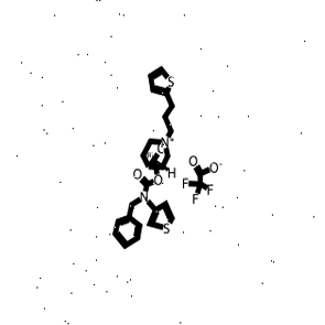 O=C(O[C@H]1C[N+]2(CCCc3cccs3)CCC1CC2)N(Cc1ccccc1)c1ccsc1.O=C([O-])C(F)(F)F